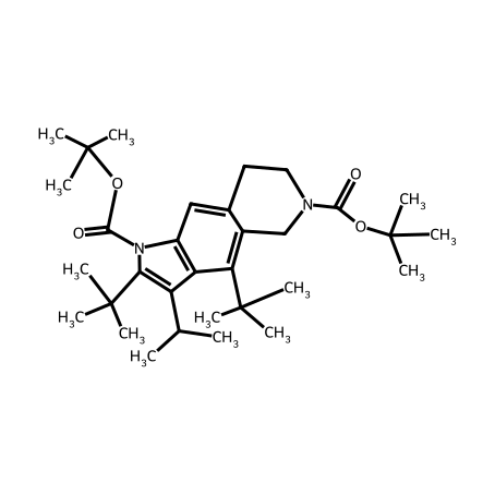 CC(C)c1c(C(C)(C)C)n(C(=O)OC(C)(C)C)c2cc3c(c(C(C)(C)C)c12)CN(C(=O)OC(C)(C)C)CC3